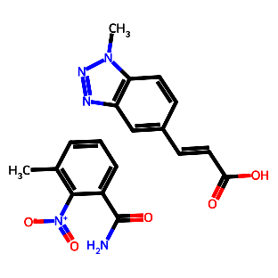 Cc1cccc(C(N)=O)c1[N+](=O)[O-].Cn1nnc2cc(/C=C/C(=O)O)ccc21